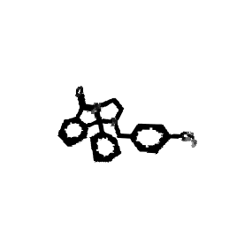 Cc1ccc(CN2CCN3C(=O)c4ccccc4C23c2ccccc2)cc1